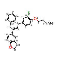 CNCCOc1ccc(CC=C(Cc2ccccc2)c2ccc3c(c2)CCO3)cc1F